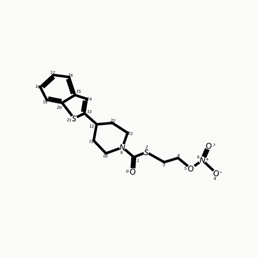 O=C(SCCO[N+](=O)[O-])N1CCC(c2cc3ccccc3s2)CC1